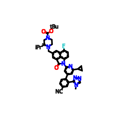 CC(C)[C@H]1CN(C(=O)OC(C)(C)C)CCN1Cc1cc2c3c(ccc(F)c3c1)N(c1cc(-c3ccc(C#N)cc3-c3nncn3C)cc(C3CC3)n1)C2=O